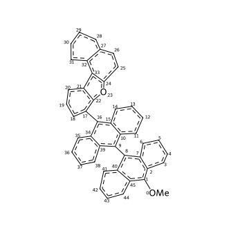 COc1c2ccccc2c(-c2c3ccccc3c(-c3cccc4c3oc3ccc5ccccc5c34)c3ccccc23)c2ccccc12